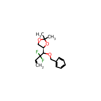 C=CC(F)(F)C(OCc1ccccc1)[C@H]1COC(C)(C)O1